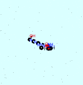 NC(=O)C12CC3C[C@H](C1)C(NC(=O)ON1CCN(c4ccc(N5CCC(N6CCC[C@@H]6CO)CC5)cn4)c4ccccc41)[C@@H](C3)C2